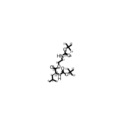 CC(C)C[C@H](NC(=O)OC(C)(C)C)C(=O)OCCNC(=O)OC(C)(C)C